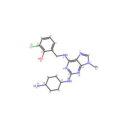 CC(C)n1cnc2c(NCc3cccc(Cl)c3O)nc(NC3CCC(N)CC3)nc21